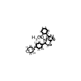 COc1ccccc1-c1nnc2n1N=C(c1ccc(N3CCOCC3)cc1)CS2